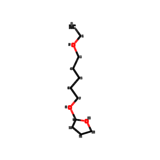 N#CCOCCCCCOC1CCCO1